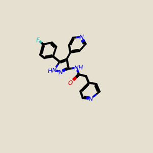 O=C(Cc1ccncc1)Nc1n[nH]c(-c2ccc(F)cc2)c1-c1ccncc1